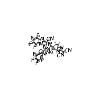 N#CC(C#N)=C1N=c2ccc(-c3nc(C(C#N)=C4N=c5c(F)c(F)c(F)c(F)c5=N4)nc(-c4nc5c(F)c(F)c(F)c(F)c5o4)n3)c(C#N)c2=N1